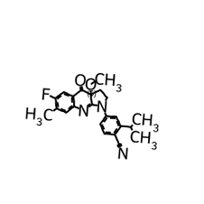 CO[C@@]12CCN(c3ccc(C#N)c(C(C)C)c3)C1=Nc1cc(C)c(F)cc1C2=O